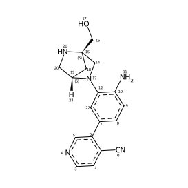 N#Cc1ccncc1-c1ccc(N)c(N2C[C@]3(CO)C[C@H]2CN3)c1